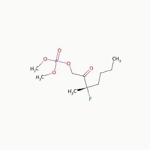 CCCC[C@](C)(F)C(=O)COP(=O)(OC)OC